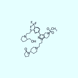 CS(=O)(=O)N1CCc2c(c(-c3ccc(C(F)(F)F)c(SCCN4CCCCC4CO)c3)nn2CCCN2CCC(N3CCCC3=O)CC2)C1